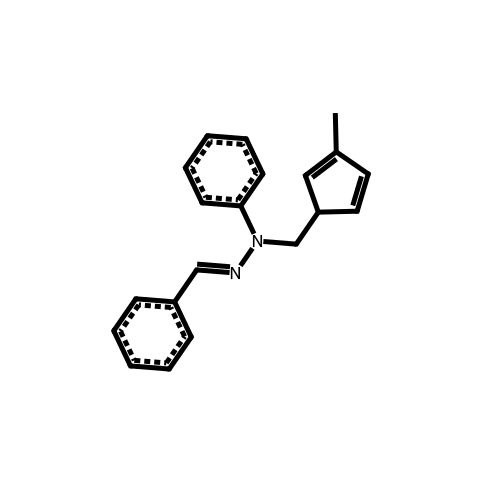 CC1=CC(CN(N=Cc2ccccc2)c2ccccc2)C=C1